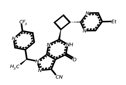 CCc1cnc([C@H]2CC[C@@H]2c2nc3c(c(C#N)nn3[C@@H](C)c3ccc(C(F)(F)F)nc3)c(=O)[nH]2)nc1